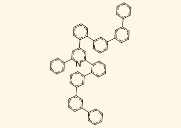 c1ccc(-c2cccc(-c3cccc(-c4ccccc4-c4cc(-c5ccccc5)nc(-c5ccccc5-c5cccc(-c6cccc(-c7ccccc7)c6)c5)c4)c3)c2)cc1